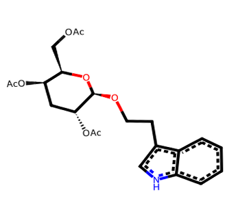 CC(=O)OC[C@H]1O[C@@H](OCCc2c[nH]c3ccccc23)[C@H](OC(C)=O)C[C@H]1OC(C)=O